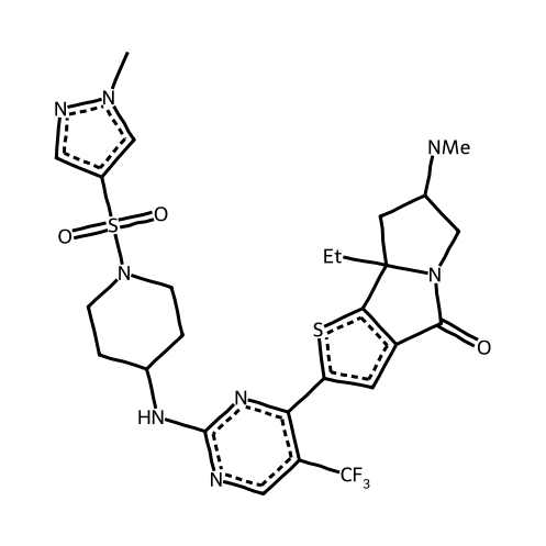 CCC12CC(NC)CN1C(=O)c1cc(-c3nc(NC4CCN(S(=O)(=O)c5cnn(C)c5)CC4)ncc3C(F)(F)F)sc12